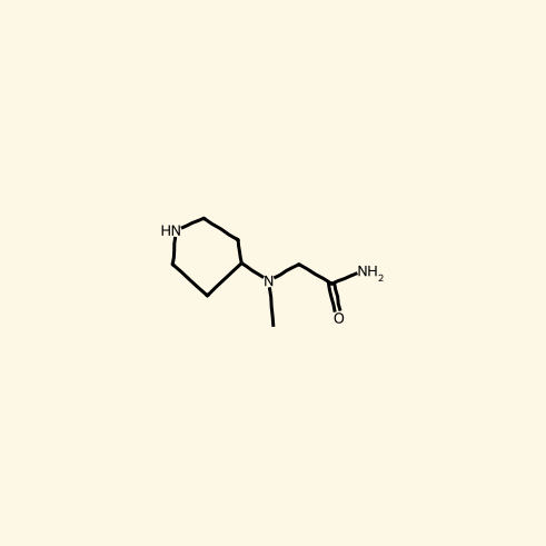 CN(CC(N)=O)C1CCNCC1